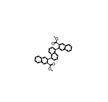 COC(=O)c1cc2ccccc2cc1-c1cccc2c(-c3cc4ccccc4cc3C(=O)OC)cccc12